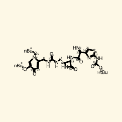 CCCCOc1cn(OCCCC)c(CNC(=O)NC[C@H]2NC(=O)[C@H]2NC(=O)C(=N)c2csc(NC(=O)OC(C)(C)C)n2)cc1=O